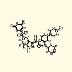 CCN1CCN(c2ccc(C(=O)Nc3n[nH]c4c3CN(S(=O)(=O)c3cc(F)cc(F)c3)CC4(C)C)c(NC3CCOCC3)c2)CC1